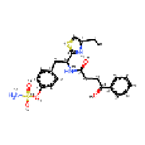 CCc1csc(C(Cc2ccc(OS(N)(=O)=O)cc2)NC(=O)CCC(=O)c2ccccc2)n1